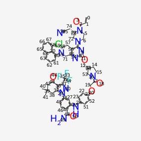 C=CC(=O)N1CCN(c2nc(OC[C@@H]3CCN(C(=O)COc4ccc(Nc5cc(-n6nc(C(F)(F)F)c7c6CC(C)(C)CC7=O)ccc5C(N)=O)cc4)C3)nc3c2CCN(c2cccc4cccc(Cl)c24)C3)C[C@@H]1CC#N